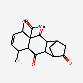 COC(=O)C12C(=O)C3C4CC(=O)C(C4)C3C(=O)C1C(C)C=CC2C